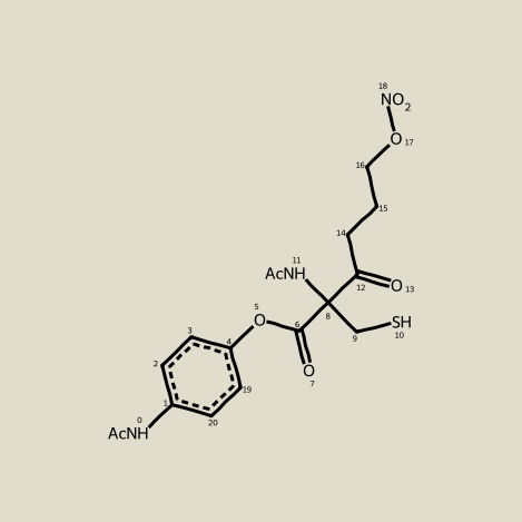 CC(=O)Nc1ccc(OC(=O)C(CS)(NC(C)=O)C(=O)CCCO[N+](=O)[O-])cc1